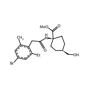 CCc1cc(Br)cc(C)c1CC(=O)N[C@]1(C(=O)OC)CC[C@H](CO)CC1